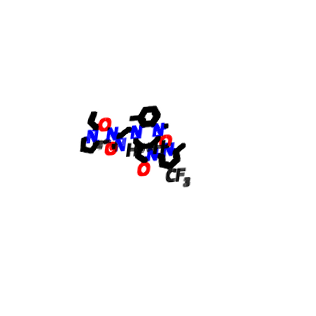 C=CC(=O)N1CCC[C@H]1c1nc(CN2C[C@H]3CC(=O)N(c4cc(C(F)(F)F)cc(C)n4)[C@@H]3C(=O)N(C)c3cccc(C)c32)no1